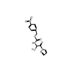 CC(NC(=O)OCc1ccc([N+](=O)[O-])cc1)C(=O)n1cccn1